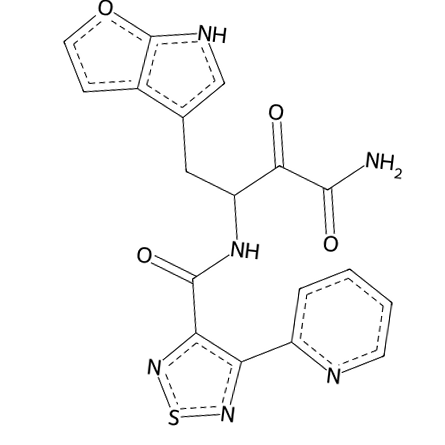 NC(=O)C(=O)C(Cc1c[nH]c2occc12)NC(=O)c1nsnc1-c1ccccn1